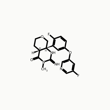 CN1C(=N)N[C@@]2(c3cc(Oc4cncc(F)c4)ccc3F)COCC[C@H]2C1=O